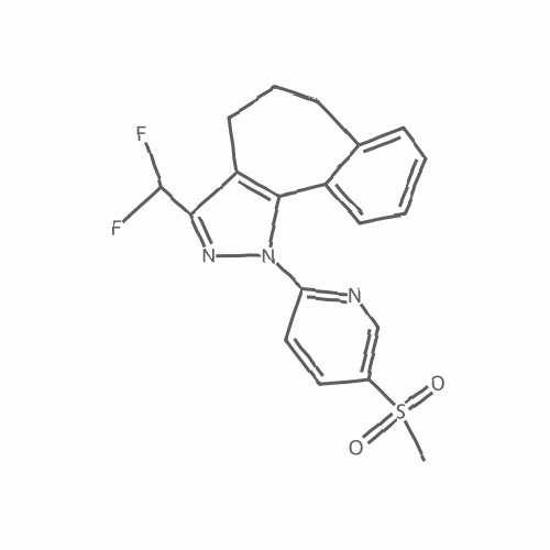 CS(=O)(=O)c1ccc(-n2nc(C(F)F)c3c2-c2ccccc2CCC3)nc1